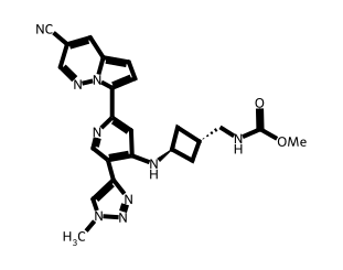 COC(=O)NC[C@H]1C[C@H](Nc2cc(-c3ccc4cc(C#N)cnn34)ncc2-c2cn(C)nn2)C1